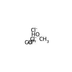 CO.[Cl-].[Cl-].[Cl-].[Gd+3]